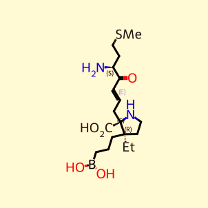 CC[C@@]1(CCCB(O)O)CCN[C@]1(C/C=C/C(=O)[C@@H](N)CCSC)C(=O)O